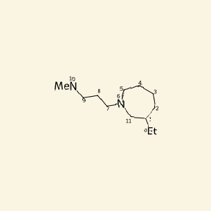 CCC1CCCCN(CCCNC)C1